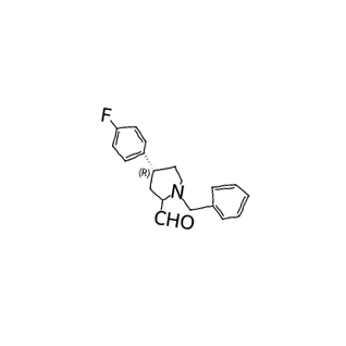 O=CC1C[C@H](c2ccc(F)cc2)CCN1Cc1ccccc1